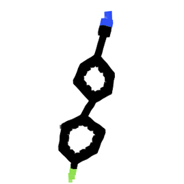 N#Cc1ccc(-c2[c]cc(F)cc2)cc1